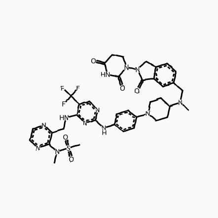 CN(Cc1ccc2c(c1)C(=O)N(N1CCC(=O)NC1=O)C2)C1CCN(c2ccc(Nc3ncc(C(F)(F)F)c(NCc4nccnc4N(C)S(C)(=O)=O)n3)cc2)CC1